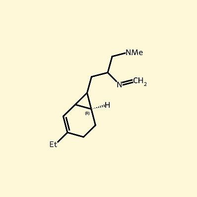 C=NC(CNC)CC1C2C=C(CC)CC[C@@H]21